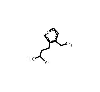 C[CH]([Al])CCc1ccccc1CC(F)(F)F